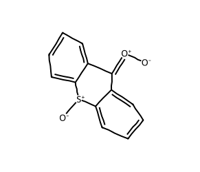 [O-][O+]=c1c2ccccc2[s+]([O-])c2ccccc12